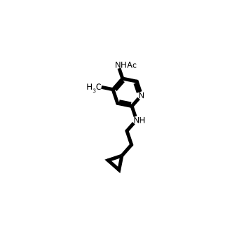 CC(=O)Nc1cnc(NCCC2CC2)cc1C